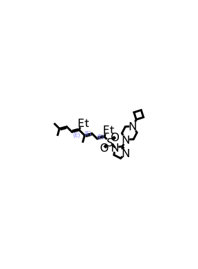 CCC(=C\C=C(C)C)/C(C)=C/C=C(\CC)S(=O)(=O)N1CCN=C1N1CCN(C2CCC2)CC1